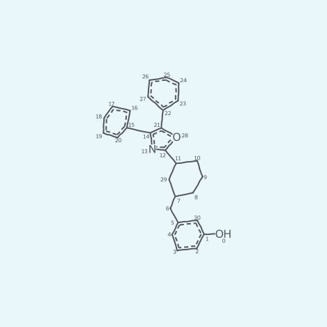 Oc1cccc(CC2CCCC(c3nc(-c4ccccc4)c(-c4ccccc4)o3)C2)c1